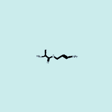 CCCC=CCOC(=O)C(C)CCCC